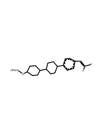 CCCCCOC1CCC(C2CCC(c3ccc(C=C(F)F)cc3)CC2)CC1